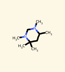 CC1CC(C)(C)N(C)CN1C